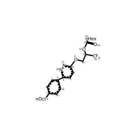 CCCCCCCCc1ccc(-c2ccc(OCC(OC(=O)CCCCCC)C(F)(F)F)nn2)cc1